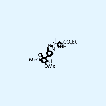 CCOC(=O)[C@@H]1C[C@H](Nc2ncc3cc(-c4c(Cl)c(OC)cc(OC)c4Cl)ccc3n2)CN1